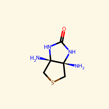 N[C@@]12CSC[C@]1(N)NC(=O)N2